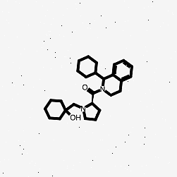 O=C([C@H]1CCCN1CC1(O)CCCCC1)N1CCc2ccccc2C1C1CCCCC1